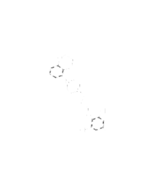 Fc1cc(Cl)c(OCCCN2CCN(c3cccc4c3OCCO4)CC2)c(Cl)c1